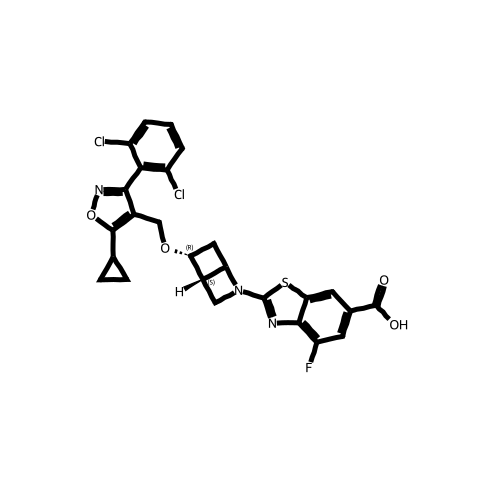 O=C(O)c1cc(F)c2nc(N3C[C@H]4C3C[C@H]4OCc3c(-c4c(Cl)cccc4Cl)noc3C3CC3)sc2c1